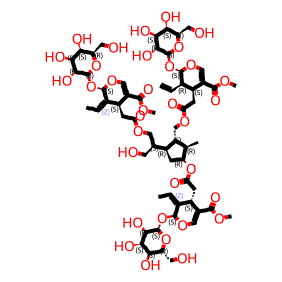 C=C[C@H]1[C@H](O[C@@H]2O[C@H](CO)[C@@H](O)[C@H](O)[C@H]2O)OC=C(C(=O)OC)[C@H]1CC(=O)OC[C@@H]1[C@@H](C)[C@H](OC(=O)C[C@@H]2C(C(=O)OC)=CO[C@@H](O[C@@H]3O[C@H](CO)[C@@H](O)[C@H](O)[C@H]3O)/C2=C\C)C[C@H]1[C@@H](CO)COC(=O)C[C@@H]1C(C(=O)OC)=CO[C@@H](O[C@@H]2O[C@H](CO)[C@@H](O)[C@H](O)[C@H]2O)/C1=C\C